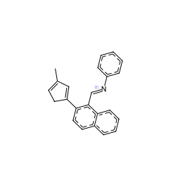 CC1=CCC(c2ccc3ccccc3c2/C=N/c2ccccc2)=C1